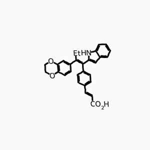 CC/C(=C(/c1ccc(/C=C/C(=O)O)cc1)c1cc2ccccc2[nH]1)c1ccc2c(c1)OCCO2